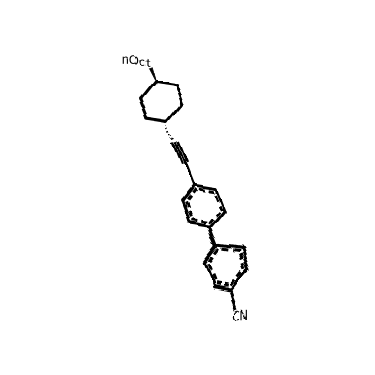 CCCCCCCC[C@H]1CC[C@H](C#Cc2ccc(-c3ccc(C#N)cc3)cc2)CC1